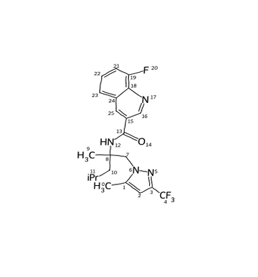 Cc1cc(C(F)(F)F)nn1CC(C)(CC(C)C)NC(=O)c1cnc2c(F)cccc2c1